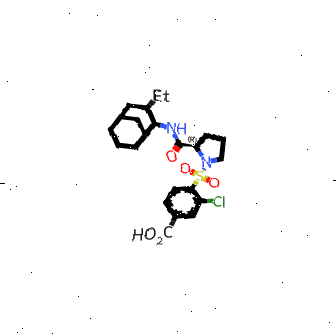 CCC1CC2CCCC(C2)C1NC(=O)[C@H]1CCCN1S(=O)(=O)c1ccc(C(=O)O)cc1Cl